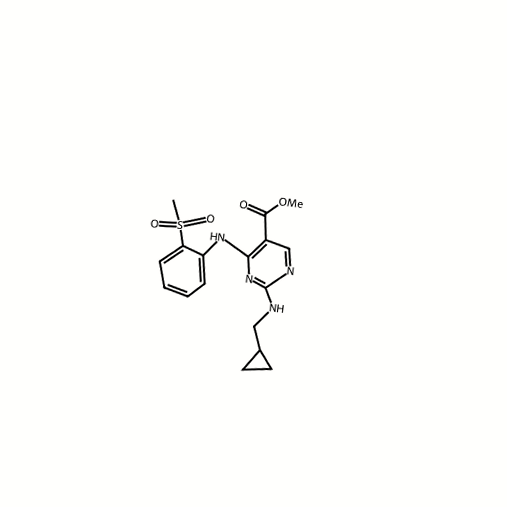 COC(=O)c1cnc(NCC2CC2)nc1Nc1ccccc1S(C)(=O)=O